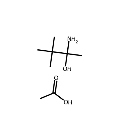 CC(=O)O.CC(C)(C)C(C)(N)O